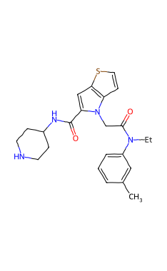 CCN(C(=O)Cn1c(C(=O)NC2CCNCC2)cc2sccc21)c1cccc(C)c1